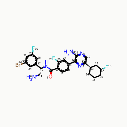 NC[C@@H](NC(=O)c1ccc(-c2nc([C@@H]3CCC[C@H](F)C3)cnc2N)cc1F)c1cc(F)cc(Br)c1